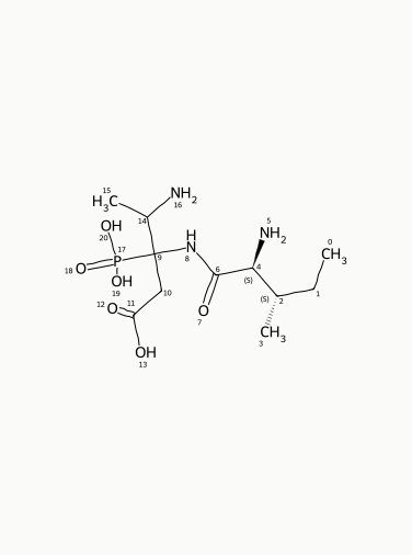 CC[C@H](C)[C@H](N)C(=O)NC(CC(=O)O)(C(C)N)P(=O)(O)O